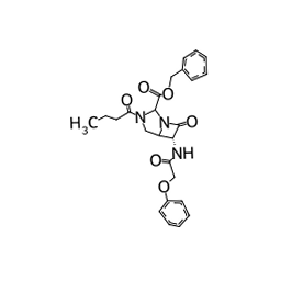 CCCC(=O)N1CC2[C@@H](NC(=O)COc3ccccc3)C(=O)N2C1C(=O)OCc1ccccc1